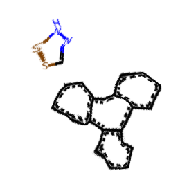 C1=NNSS1.c1ccc2c(c1)c1ccccc1c1ccccc21